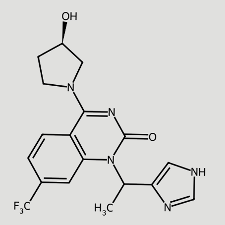 CC(c1c[nH]cn1)n1c(=O)nc(N2CC[C@@H](O)C2)c2ccc(C(F)(F)F)cc21